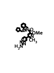 COc1nc(C)c(-c2ccn3nc(N)nc3c2)cc1C(=O)NCc1ccccc1OCC1CCCC1